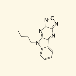 CCCCn1c2ccccc2c2nc3nonc3nc21